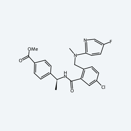 COC(=O)c1ccc([C@H](C)NC(=O)c2cc(Cl)ccc2CN(C)c2ccc(F)cn2)cc1